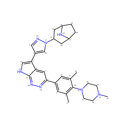 Cc1cc(-c2cc3c(-c4cnn(C5CC6CCC(C5)N6)c4)c[nH]c3nn2)cc(C)c1N1CCN(C)CC1